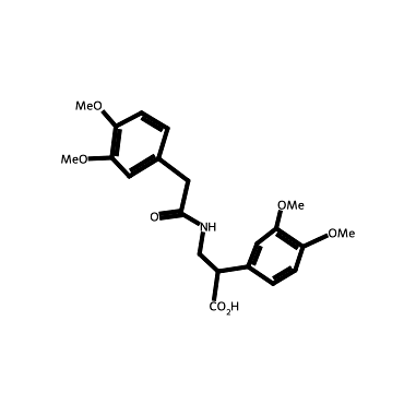 COc1ccc(CC(=O)NCC(C(=O)O)c2ccc(OC)c(OC)c2)cc1OC